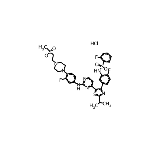 CC(C)c1nc(-c2ccc(F)c(NS(=O)(=O)c3ccccc3F)c2)c(-c2ccnc(Nc3ccc(N4CCN(CCS(C)(=O)=O)CC4)c(F)c3)n2)s1.Cl